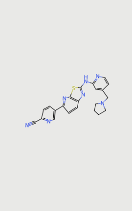 N#Cc1ccc(-c2ccc3nc(Nc4cc(CN5CCCC5)ccn4)sc3n2)cn1